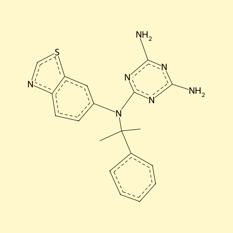 CC(C)(c1ccccc1)N(c1ccc2ncsc2c1)c1nc(N)nc(N)n1